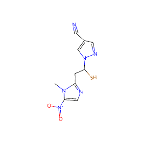 Cn1c([N+](=O)[O-])cnc1CC(S)n1cc(C#N)cn1